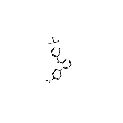 CSc1ccc(-c2ccccc2Sc2ccc(C(F)(F)F)cc2)cc1